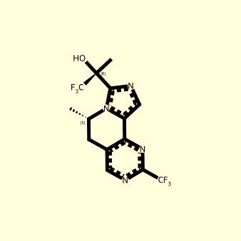 C[C@H]1Cc2cnc(C(F)(F)F)nc2-c2cnc([C@@](C)(O)C(F)(F)F)n21